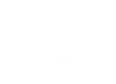 C[SiH](C)OC(c1cccc(O)c1)C(C)(C)C